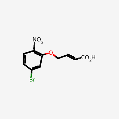 O=C(O)C=CCOc1cc(Br)ccc1[N+](=O)[O-]